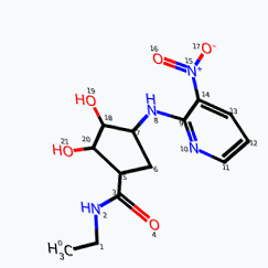 CCNC(=O)C1CC(Nc2ncccc2[N+](=O)[O-])C(O)C1O